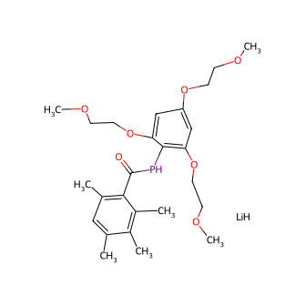 COCCOc1cc(OCCOC)c(PC(=O)c2c(C)cc(C)c(C)c2C)c(OCCOC)c1.[LiH]